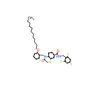 CCCCCCCCCCCCOc1cccc(F)c1CN1C(=O)CSc2cc(C(=O)NCc3c(F)cc(F)cc3F)ccc21